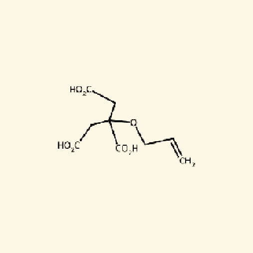 C=CCOC(CC(=O)O)(CC(=O)O)C(=O)O